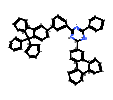 c1ccc(C2=NC(c3cccc(-c4ccc5c(c4)-c4ccccc4C5(c4ccccc4)c4ccccc4)c3)=NC(c3ccc4c5ccccc5c5ccccc5c4c3)N2)cc1